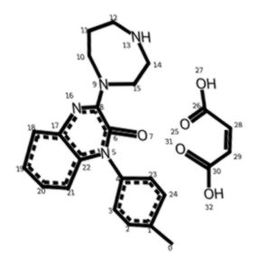 Cc1ccc(-n2c(=O)c(N3CCCNCC3)nc3ccccc32)cc1.O=C(O)/C=C\C(=O)O